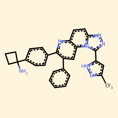 NC1(c2ccc(-c3nc4ccc5nnc(-c6cc(C(F)(F)F)n[nH]6)n5c4cc3-c3ccccc3)cc2)CCC1